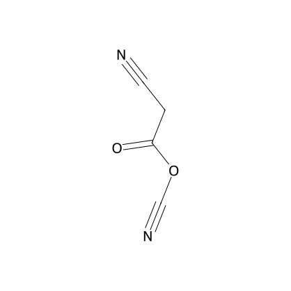 N#CCC(=O)OC#N